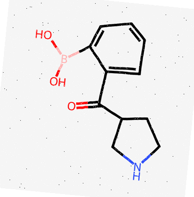 O=C(c1ccccc1B(O)O)C1CCNC1